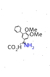 COc1cc([C@@H](N)CC(=O)O)cc(-c2ccccc2)c1OC